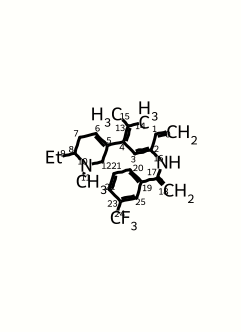 C=C/C(=C\C(C1=CCC(CC)N(C)C1)=C(C)C)NC(=C)c1cccc(C(F)(F)F)c1